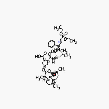 CCOP(=O)(/C=C/[C@@H](NC(=O)[C@H](CC(C)C)NC(=O)[C@@H]1C[C@@H](O[C@H]2O[C@@H]3O[C@@]4(C)CC[C@H]5[C@H](C)CC[C@@H]([C@H]2C)[C@@]35OO4)CN1C(=O)O)c1ccccc1)OCC